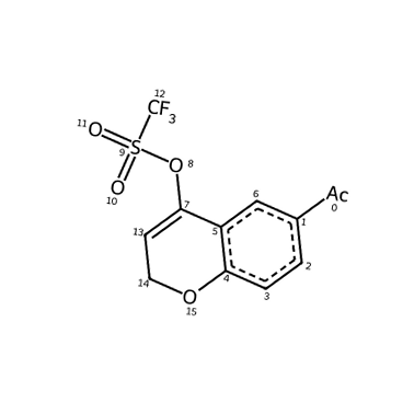 CC(=O)c1ccc2c(c1)C(OS(=O)(=O)C(F)(F)F)=CCO2